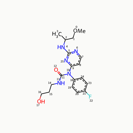 COCC(C)Nc1nccc(N(C(=O)NCCCO)c2ccc(F)cc2)n1